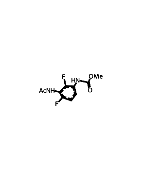 COC(=O)Nc1ccc(F)c(NC(C)=O)c1F